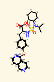 CC(C)N(C1CCCCC1)S(=O)(=O)N[C@@H](Cc1ccc(Oc2nccc3cnccc23)cc1)C(=O)O